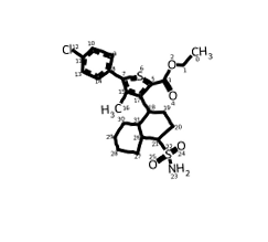 CCOC(=O)c1sc(-c2ccc(Cl)cc2)c(C)c1C1CCC(S(N)(=O)=O)C2CCCCC12